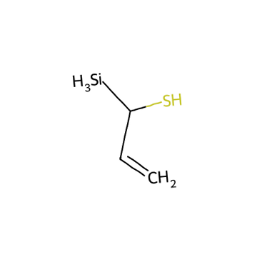 C=CC([SiH3])S